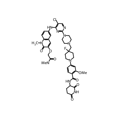 CNC(=O)COc1cc2cc(Nc3nc(N4CCN(CC5(F)CCN(c6ccc(C(=O)NC7CCC(=O)NC7=O)c(OC)c6)CC5)CC4)ncc3Cl)ccc2n(C)c1=O